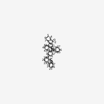 CC1(C)c2ccccc2-c2c1cc(N(C1=CC=C(C3=CC=CC4c5ccccc5SC34)CC1)C1C=CC=CC1)c1c2C=CCC1